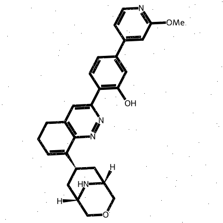 COc1cc(-c2ccc(-c3cc4c(nn3)C([C@@H]3C[C@H]5COC[C@@H](C3)N5)=CCC4)c(O)c2)ccn1